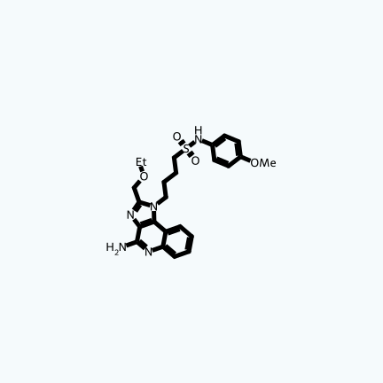 CCOCc1nc2c(N)nc3ccccc3c2n1CCCCS(=O)(=O)Nc1ccc(OC)cc1